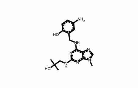 Cn1cnc2c(NCc3cc(N)ccc3O)nc(NCC(C)(C)O)nc21